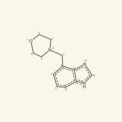 c1cc(CN2CCOCC2)c2nc[nH]c2c1